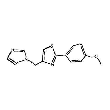 COc1ccc(-c2nc(Cn3ccnc3)cs2)cc1